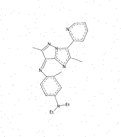 CCN(CC)c1ccc(/N=C2/C(C)=Nn3c2nc(C)c3-c2ccccn2)c(C)c1